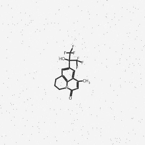 Cc1cc(=O)n2c3c(cc(C(O)(C(F)(F)F)C(F)(F)F)cc13)CCC2